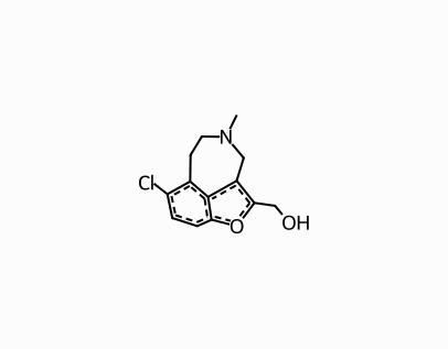 CN1CCc2c(Cl)ccc3oc(CO)c(c23)C1